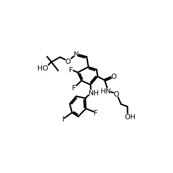 CC(C)(O)CO/N=C\c1cc(C(=O)NOCCO)c(Nc2ccc(I)cc2F)c(F)c1F